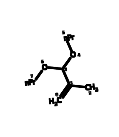 C=C(C)C(OCCC)OCCC